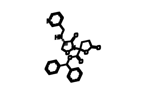 O=C1CCC(C(=O)OC(c2ccccc2)c2ccccc2)(N2OC[C@H](NCc3cccnc3)C2=O)O1